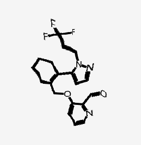 O=Cc1ncccc1OCC1=C(c2ccnn2CCC(F)(F)F)CCCC1